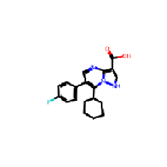 O=C(O)C1=C2N=CC(c3ccc(F)cc3)=C(C3CCCCC3)N2NC1